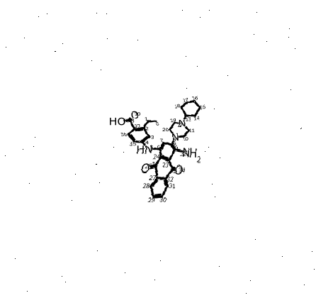 CCc1cc(Nc2cc(N3CCN(C4CCCCC4)CC3)c(N)c3c2C(=O)c2ccccc2C3=O)ccc1C(=O)O